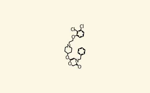 O=C1COC(OC2CCN(CCOc3cccc(Cl)c3Cl)CC2)=CN1Cc1ccccc1